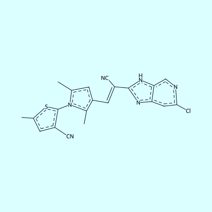 Cc1cc(C#N)c(-n2c(C)cc(C=C(C#N)c3nc4cc(Cl)ncc4[nH]3)c2C)s1